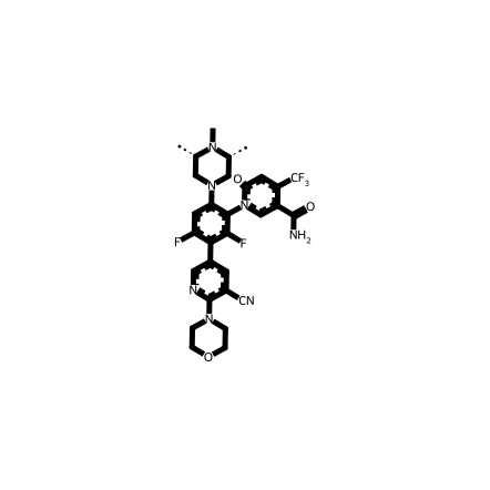 C[C@@H]1CN(c2cc(F)c(-c3cnc(N4CCOCC4)c(C#N)c3)c(F)c2-n2cc(C(N)=O)c(C(F)(F)F)cc2=O)C[C@H](C)N1C